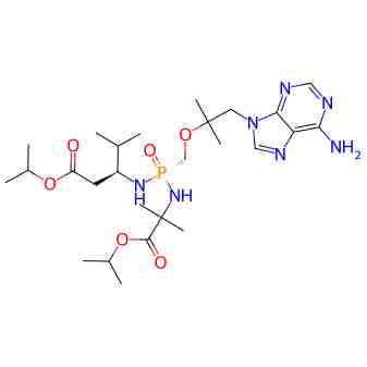 CC(C)OC(=O)C[C@H](N[P@](=O)(COC(C)(C)Cn1cnc2c(N)ncnc21)NC(C)(C)C(=O)OC(C)C)C(C)C